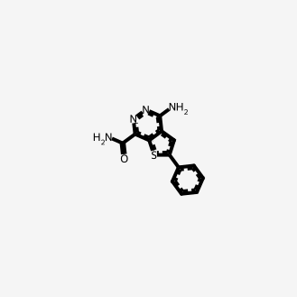 NC(=O)c1nnc(N)c2cc(-c3ccccc3)sc12